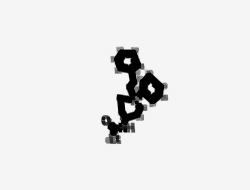 CCC(=O)NC1CC[N+](CCc2ccccc2)(c2ccccc2)CC1